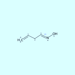 C=CC/C=N/O